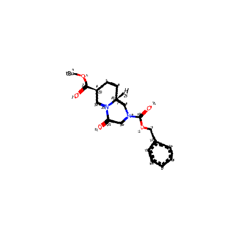 CC(C)(C)OC(=O)[C@H]1CC[C@@H]2CN(C(=O)OCc3ccccc3)CC(=O)N2C1